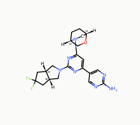 Nc1ncc(-c2cc(N3C[C@@H]4CC[C@H]3CO4)nc(N3C[C@@H]4CC(F)(F)C[C@@H]4C3)n2)cn1